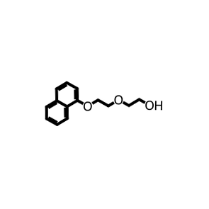 OCCOCCOc1cccc2ccccc12